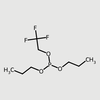 CCCOP(OCCC)OCC(F)(F)F